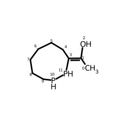 CC(O)=C1CCCCCCPP1